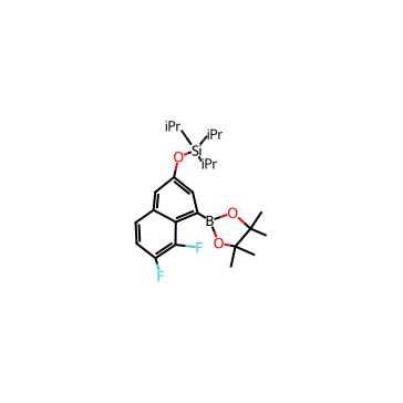 CC(C)[Si](Oc1cc(B2OC(C)(C)C(C)(C)O2)c2c(F)c(F)ccc2c1)(C(C)C)C(C)C